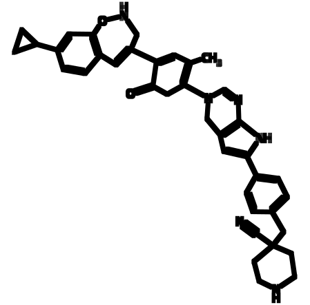 CC1=C(N2C=Nc3[nH]c(-c4ccc(CC5(C#N)CCNCC5)cc4)cc3C2)CC(=O)C(C2=Cc3ccc(C4CC4)cc3ONC2)=C1